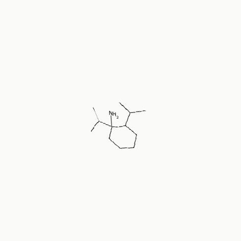 CC(C)C1CCCCC1(N)C(C)C